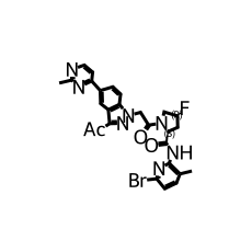 CC(=O)c1nn(CC(=O)N2C[C@H](F)C[C@H]2C(=O)Nc2nc(Br)ccc2C)c2ccc(-c3ccnc(C)n3)cc12